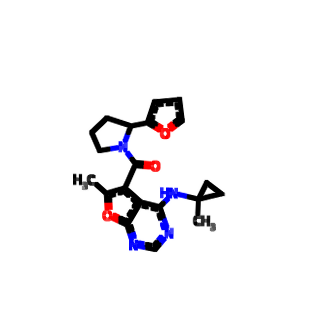 Cc1oc2ncnc(NC3(C)CC3)c2c1C(=O)N1CCCC1c1ccco1